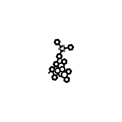 Cc1ccccc1-c1ccccc1C12CCCC34CC(CC5(CC(C1)c1ccccc1-c1ccccc15)C23)c1ccccc1-c1c(-c2ccc(-c3nc(-c5ccccc5)nc(-c5ccccc5)n3)cc2)cccc14